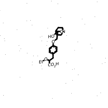 CCOC(Cc1ccc(OCC2(O)CN3CCC2CC3)cc1)C(=O)O